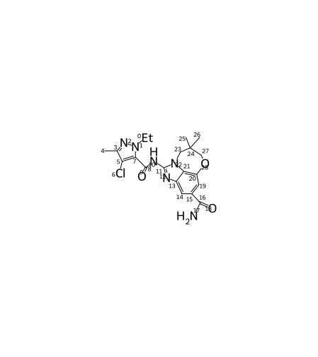 CCn1nc(C)c(Cl)c1C(=O)Nc1nc2cc(C(N)=O)cc3c2n1CC(C)(C)CO3